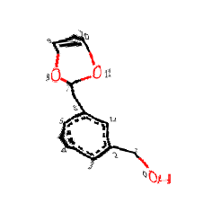 OCc1cccc(C2OC=CO2)c1